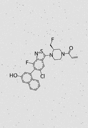 C=CC(=O)N1CCN(c2snc3c(F)c(-c4cc(O)cc5ccccc45)c(Cl)cc23)[C@@H](CF)C1